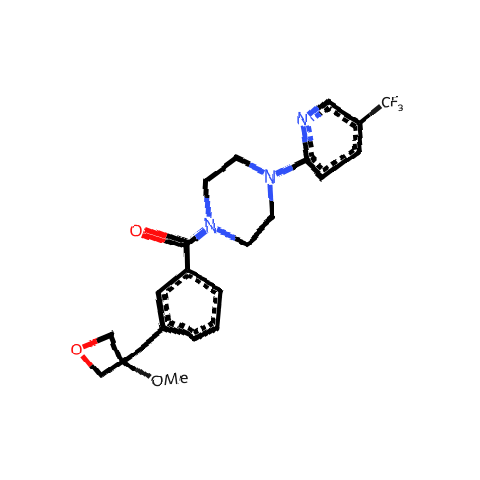 COC1(c2cccc(C(=O)N3CCN(c4ccc(C(F)(F)F)cn4)CC3)c2)COC1